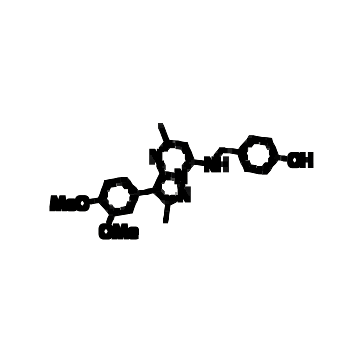 COc1ccc(-c2c(C)nn3c(NCc4ccc(O)cc4)cc(C)nc23)cc1OC